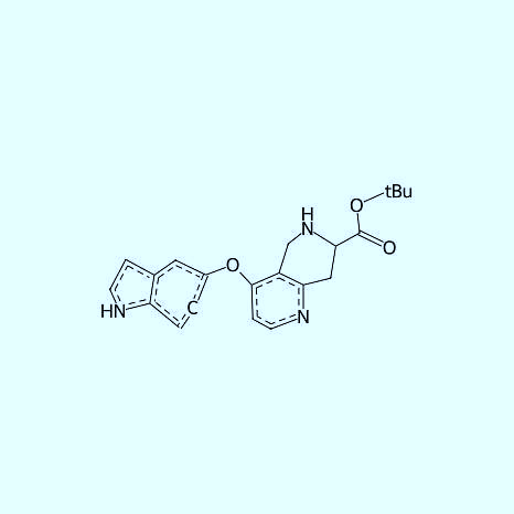 CC(C)(C)OC(=O)C1Cc2nccc(Oc3ccc4[nH]ccc4c3)c2CN1